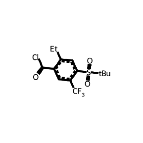 CCc1cc(S(=O)(=O)C(C)(C)C)c(C(F)(F)F)cc1C(=O)Cl